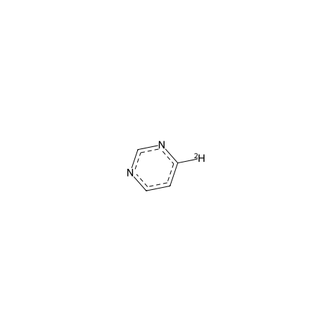 [2H]c1ccncn1